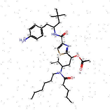 CCCCCCN(C(=O)CCCC)C(CC(OC(C)=O)c1nc(C(=O)NC(Cc2ccc(N)cc2)CC(C)(C)C)cs1)C(C)C